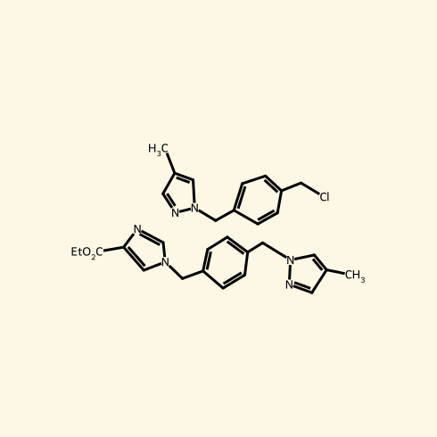 CCOC(=O)c1cn(Cc2ccc(Cn3cc(C)cn3)cc2)cn1.Cc1cnn(Cc2ccc(CCl)cc2)c1